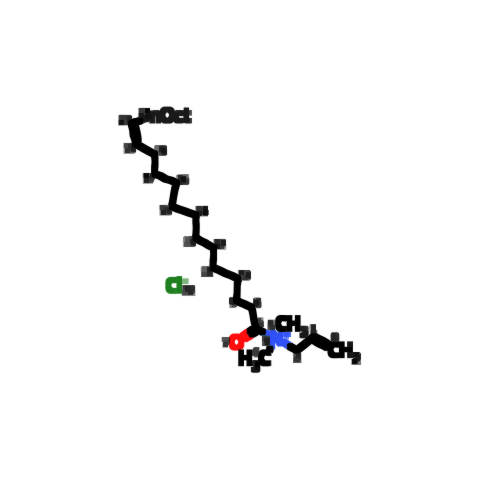 C=CC[N+](C)(C)C(=O)CCCCCCCCCCC/C=C\CCCCCCCC.[Cl-]